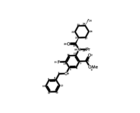 COC(=O)c1cc(OCc2ccccc2)c(F)cc1N(C(=O)[C@H]1CC[C@H](C)CC1)C(C)C